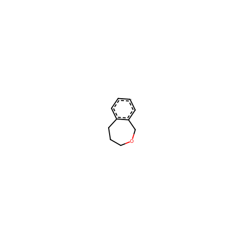 [c]1ccc2c(c1)COCCC2